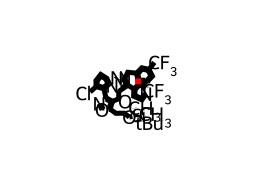 CC(C)(C)[Si](C)(C)OCCc1onc(-c2ccccc2Cl)c1C(=O)c1nnn(Cc2cc(C(F)(F)F)cc(C(F)(F)F)c2)c1-c1ccncc1